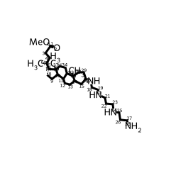 COC(=O)CC[C@@H](C)[C@H]1CCC2C3CCC4C[C@@H](NCCNCCCNCCCN)CC[C@]4(C)C3CC[C@@]21C